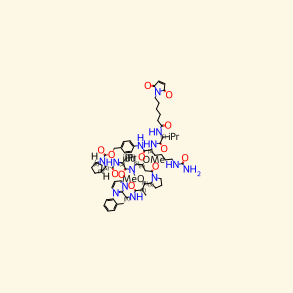 CC[C@H](C)[C@@H]([C@@H](CC(=O)N1CCC[C@H]1[C@H](OC)[C@@H](C)C(=O)N[C@H](Cc1ccccc1)c1ncccn1)OC)N(C)C(=O)[C@@H](NC(=O)[C@@H]1[C@H]2CC[C@H](C2)N1C(=O)OCc1ccc(NC(=O)[C@H](CCCCNC(N)=O)NC(=O)[C@@H](NC(=O)CCCCCN2C(=O)C=CC2=O)C(C)C)cc1)C(C)C